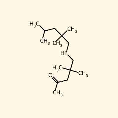 CC(=O)CC(C)(C)CPCC(C)(C)CC(C)C